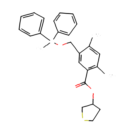 COc1cc(OC)c(C(=O)OC2CCSC2)cc1CO[Si](c1ccccc1)(c1ccccc1)C(C)(C)C